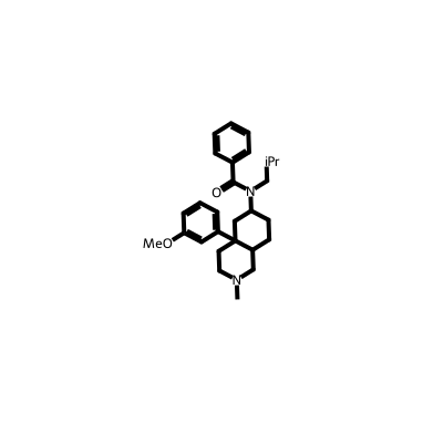 COc1cccc(C23CCN(C)CC2CCC(N(CC(C)C)C(=O)c2ccccc2)C3)c1